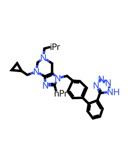 CCCc1nc2c(n1Cc1ccc(-c3ccccc3-c3nnn[nH]3)cc1)CN(CC(C)C)CN2CC1CC1